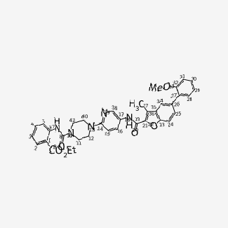 CCOC(=O)c1ccccc1NC(=O)N1CCN(c2ccc(NC(=O)c3oc4ccc(-c5ccccc5OC)cc4c3C)cn2)CC1